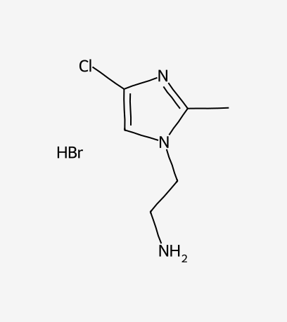 Br.Cc1nc(Cl)cn1CCN